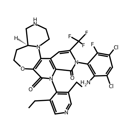 CCc1cncc(CC)c1-n1c(=O)c2c(c3cc(C(F)(F)F)n(-c4c(N)c(Cl)cc(Cl)c4F)c(=O)c31)N1CCNC[C@@H]1CCO2